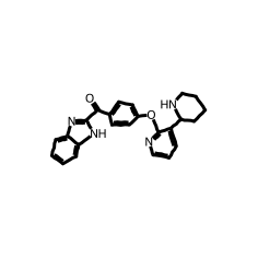 O=C(c1ccc(Oc2ncccc2C2CCCCN2)cc1)c1nc2ccccc2[nH]1